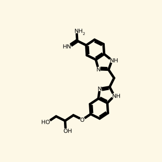 N=C(N)c1ccc2[nH]c(Cc3nc4cc(OCC(O)CO)ccc4[nH]3)nc2c1